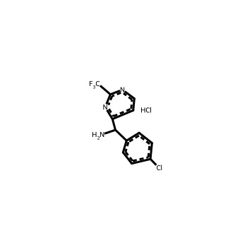 Cl.NC(c1ccc(Cl)cc1)c1ccnc(C(F)(F)F)n1